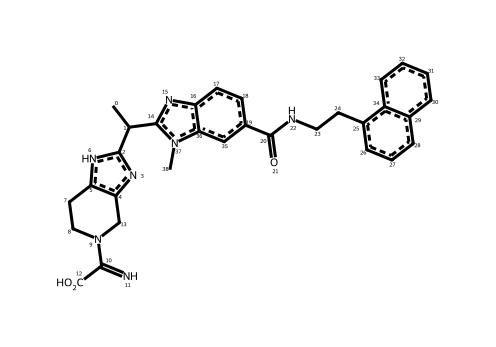 CC(c1nc2c([nH]1)CCN(C(=N)C(=O)O)C2)c1nc2ccc(C(=O)NCCc3cccc4ccccc34)cc2n1C